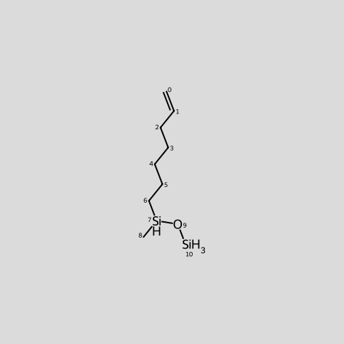 C=CCCCCC[SiH](C)O[SiH3]